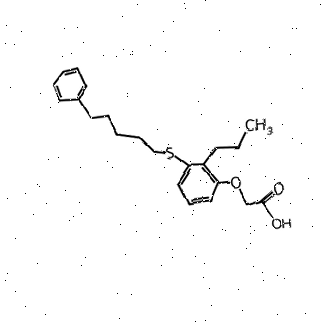 CCCc1c(OCC(=O)O)cccc1SCCCCCc1ccccc1